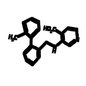 Cc1ccccc1-c1ccccc1CNc1cnccc1C(=O)O